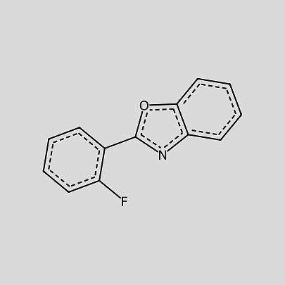 Fc1ccccc1-c1nc2ccccc2o1